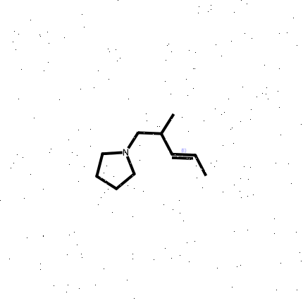 C/C=C/C(C)CN1CCCC1